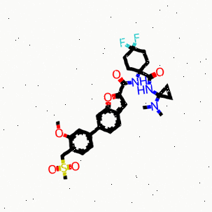 COc1cc(-c2ccc3cc(C(=O)NC4(C(=O)NC5(N(C)C)CC5)CCC(F)(F)CC4)oc3c2)ccc1CS(C)(=O)=O